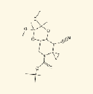 COC1(C)OC2CN(C(=O)OC(C)(C)C)C3(CC3)C(C#N)C2OC1(C)OC